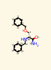 NC(=O)[C@@H](COCc1ccccc1)NCc1ccccc1